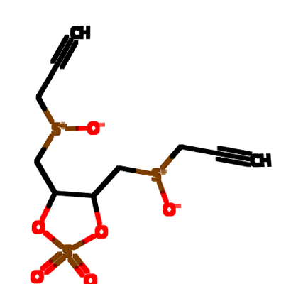 C#CC[S+]([O-])CC1OS(=O)(=O)OC1C[S+]([O-])CC#C